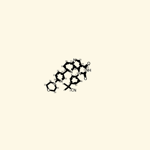 CC(C)(C#N)c1ccc(-n2c(=O)[nH]c(=O)c3cnc4ccc(-c5ccc(N6CCOCC6)nc5)nc4c32)cc1